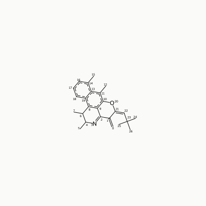 C=C1C2=NC(C)C(C)c3c2c(c(C)c2c(C)cccc32)O/C1=C/C(C)(C)C